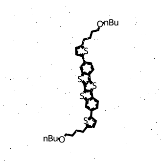 CCCCOCCCCc1ccc(-c2ccc3c(c2)sc2c3sc3c4ccc(-c5ccc(CCCCOCCCC)s5)cc4sc32)s1